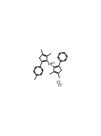 CC1=C(C)[C]([Hf+2][C]2=C(c3ccc(C)cc3)CC(C)=C2C)=C(c2ccccc2)C1.[Cl-].[Cl-]